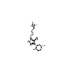 Cc1ccc(C)c(-n2nnn(COCC[Si](C)(C)C)c2=O)c1